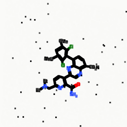 CCN(CC)Cc1ccc(-c2cnc3c(C(=O)O)ccc(-c4c(Cl)c(OC)cc(OC)c4Cl)c3n2)c(C(N)=O)n1